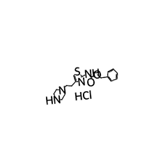 Cl.O=C(Nc1nc(CCN2CCNCC2)cs1)OCc1ccccc1